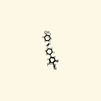 C[C@H]1CC[C@H](/C=C/[C@H]2CC[C@H](c3cc(F)c(C#N)c(F)c3)CC2)CC1